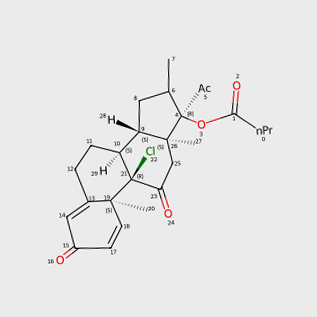 CCCC(=O)O[C@]1(C(C)=O)C(C)C[C@H]2[C@@H]3CCC4=CC(=O)C=C[C@]4(C)[C@@]3(Cl)C(=O)C[C@@]21C